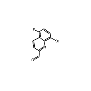 O=Cc1ccc2c(F)ccc(Br)c2n1